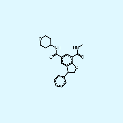 CNC(=O)c1cc(C(=O)NC2CCOCC2)cc2c1OCC2c1ccccc1